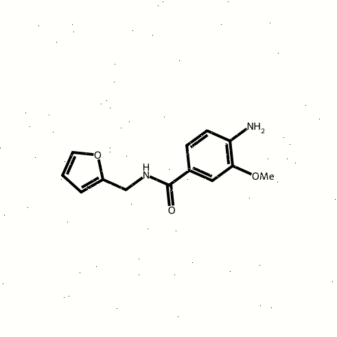 COc1cc(C(=O)NCc2ccco2)ccc1N